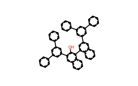 Oc1c(-c2cc(-c3ccccc3)cc(-c3ccccc3)c2)cc2ccccc2c1-c1cc(-c2cc(-c3ccccc3)cc(-c3ccccc3)c2)cc2ccccc12